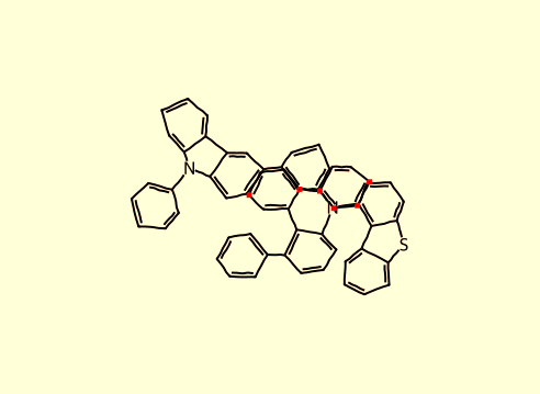 c1ccc(-c2ccccc2-c2c(-c3ccccc3)cccc2N(c2cccc(-c3ccc4c(c3)c3ccccc3n4-c3ccccc3)c2)c2cccc3sc4ccccc4c23)cc1